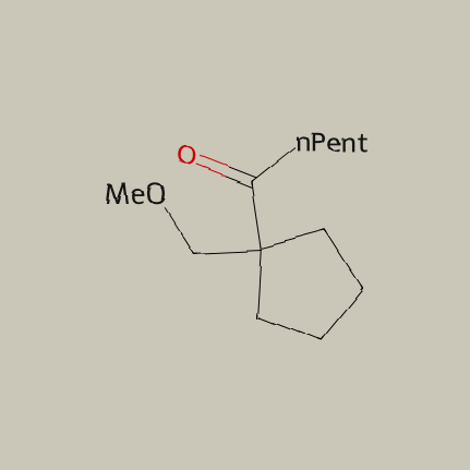 CCCCCC(=O)C1(COC)CCCC1